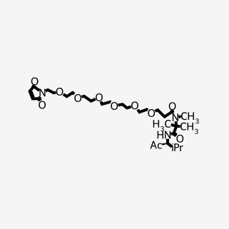 CC(=O)[C@@H](NC(=O)C(C)(C)N(C)C(=O)CCOCCOCCOCCOCCOCCOCCN1C(=O)C=CC1=O)C(C)C